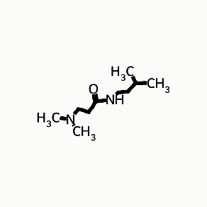 CC(C)CCNC(=O)CCN(C)C